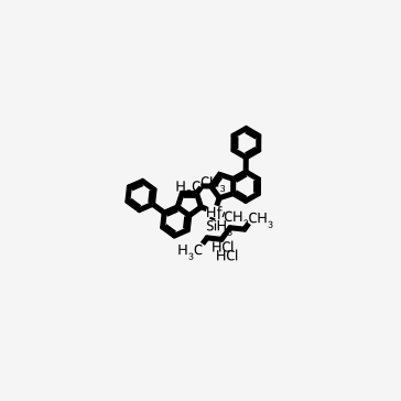 CC1=Cc2c(-c3ccccc3)cccc2[CH]1[Hf]([CH3])([SiH3])[CH]1C(C)=Cc2c(-c3ccccc3)cccc21.CCCCCC.Cl.Cl